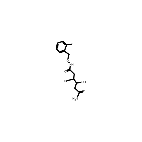 NC(=O)CC(O)C(O)CC(=O)NOCc1ccccc1F